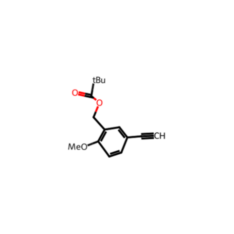 C#Cc1ccc(OC)c(COC(=O)C(C)(C)C)c1